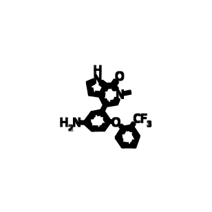 Cn1cc(-c2cc(N)ccc2Oc2ccccc2C(F)(F)F)c2cc[nH]c2c1=O